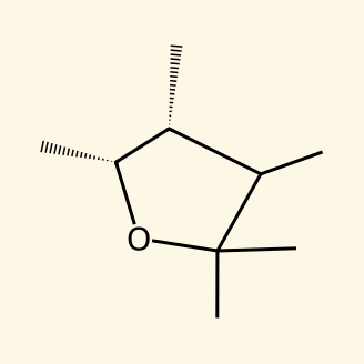 CC1[C@@H](C)[C@@H](C)OC1(C)C